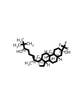 C[C@H](CCC[C@@H](O)C(C)(C)C)[C@H]1CC[C@H]2[C@@H]3CC[C@H]4C[C@](O)(C(F)(F)F)CC[C@]4(C)[C@H]3CC[C@]12C